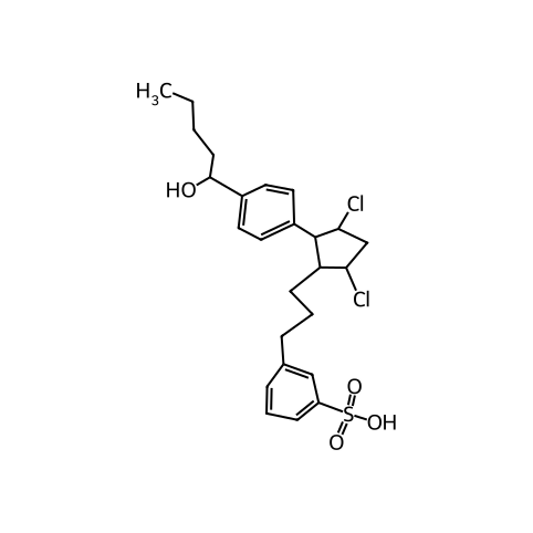 CCCCC(O)c1ccc(C2C(Cl)CC(Cl)C2CCCc2cccc(S(=O)(=O)O)c2)cc1